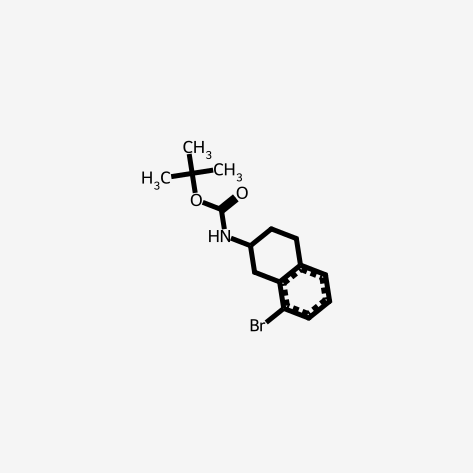 CC(C)(C)OC(=O)NC1CCc2cccc(Br)c2C1